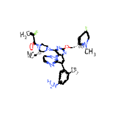 C=C(F)C(=O)N1CCN(c2nc(OC[C@@H]3C[C@@H](F)CN3C)nc3cc(-c4cc(N)ccc4C(F)(F)F)c4nccn4c23)C[C@@H]1CC#N